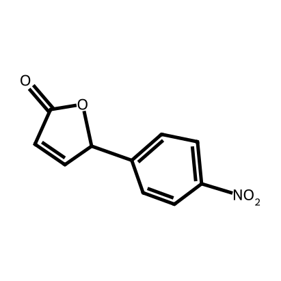 O=C1C=CC(c2ccc([N+](=O)[O-])cc2)O1